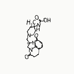 CC1(NC(=O)O)CCN(C[C@@H]2CN3C(=O)CCc4ccc(=O)n2c43)CC1